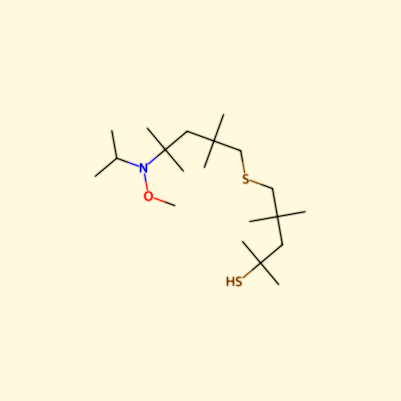 CON(C(C)C)C(C)(C)CC(C)(C)CSCC(C)(C)CC(C)(C)S